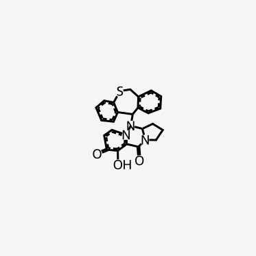 O=C1c2c(O)c(=O)ccn2N(C2c3ccccc3CSc3ccccc32)C2CCCN12